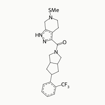 CSN1CCc2c(C(=O)N3CC4CC(c5ccccc5C(F)(F)F)CC4C3)n[nH]c2C1